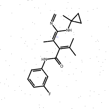 C=N/C(NC1(C)CC1)=C(\C)C(C(=O)Nc1cccc(F)c1)=C(C)C